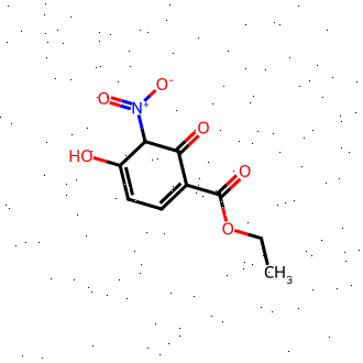 CCOC(=O)C1=CC=C(O)C([N+](=O)[O-])C1=O